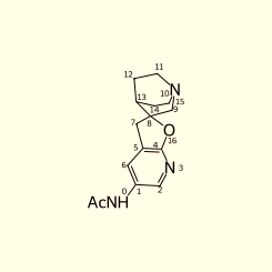 CC(=O)Nc1cnc2c(c1)CC1(CN3CCC1CC3)O2